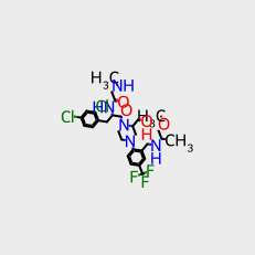 CNCC(=O)NC(Cc1ccc(Cl)cc1Cl)C(=O)N1CCN(c2ccc(C(F)(F)F)cc2CNC(C)COC)CC1CO